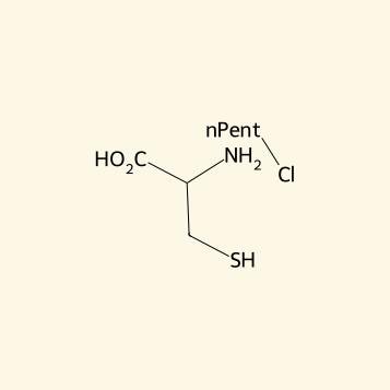 CCCCCCl.NC(CS)C(=O)O